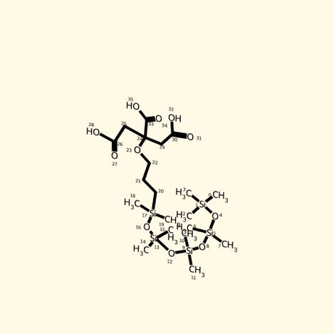 C[Si](C)(C)O[Si](C)(C)O[Si](C)(C)O[Si](C)(C)O[Si](C)(C)CCCOC(CC(=O)O)(CC(=O)O)C(=O)O